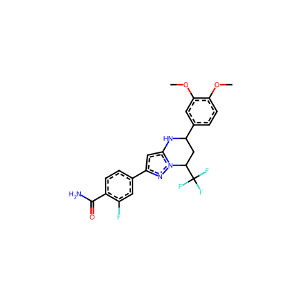 COc1ccc(C2CC(C(F)(F)F)n3nc(-c4ccc(C(N)=O)c(F)c4)cc3N2)cc1OC